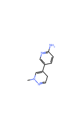 CN1C=C(c2ccc(N)nc2)CC=N1